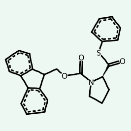 O=C(Sc1ccccc1)[C@H]1CCCN1C(=O)OCC1c2ccccc2-c2ccccc21